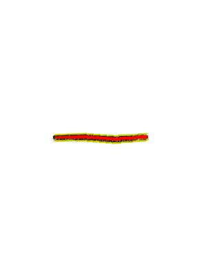 S=S=S=S=S=S=S=S=S=S=S=S=S=S=S=S=S=S=S=S=S=S=S=S=S=S=S=S=S=S=S=S=S=S=S=S=S=S=S=S=S=S=S=S=S=S=S=S=S=S=S=S=S=S=S=S=S=S=S=S=S=S=S=S=S=S=S=S=S=S=S=S=S=S=S=S=S=S=S=S=S=S=S=S=S=S=S=S=S=S